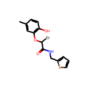 CCC(Oc1cc(C)ccc1O)C(=O)NCc1cccs1